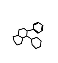 c1ccc(C2CCC3CCCCC3C2C2CCCCC2)cc1